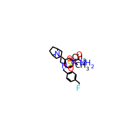 CN(C)S(=O)(=O)N(CCN1C2CCC1CC(c1cccc(C(N)=O)c1)C2)Cc1ccc(CF)cc1